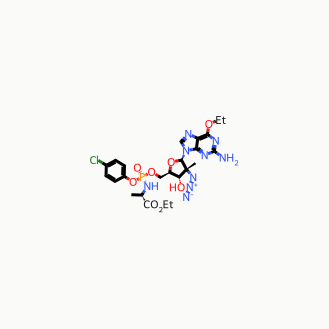 CCOC(=O)[C@H](C)NP(=O)(OC[C@H]1O[C@@H](n2cnc3c(OCC)nc(N)nc32)[C@](C)(N=[N+]=[N-])[C@@H]1O)Oc1ccc(Cl)cc1